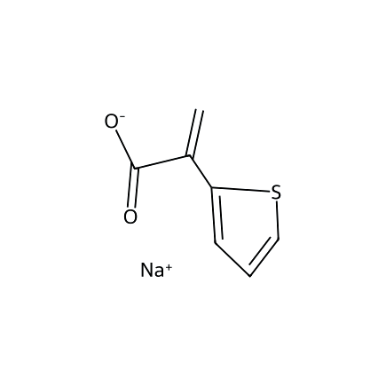 C=C(C(=O)[O-])c1cccs1.[Na+]